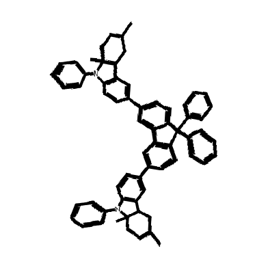 CC1CCC2(C)C(C1)c1cc(-c3ccc4c(c3)-c3cc(-c5ccc6c(c5)C5CC(C)CCC5(C)N6c5ccccc5)ccc3C4(c3ccccc3)c3ccccc3)ccc1N2c1ccccc1